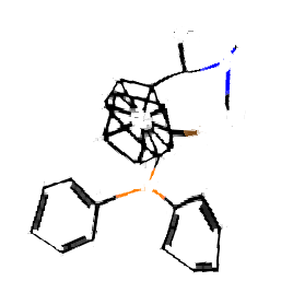 CC(N(C)C)[C]12[CH]3[CH]4[C]5(P(c6ccccc6)c6ccccc6)[C]1(Br)[Fe]34251678[CH]2[CH]1[CH]6[CH]7[CH]28